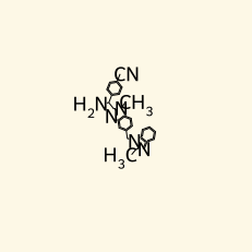 Cc1nc2ccccc2n1Cc1ccc2c(c1)nc(C(N)c1ccc(C#N)cc1)n2C